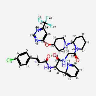 O=C(/C=C/c1ccc(Cl)cc1)NC(Cc1ccccn1)C(=O)NCC(=O)N1CCCCC1N1CCC(Oc2cc(C(F)(F)F)ncn2)CC1